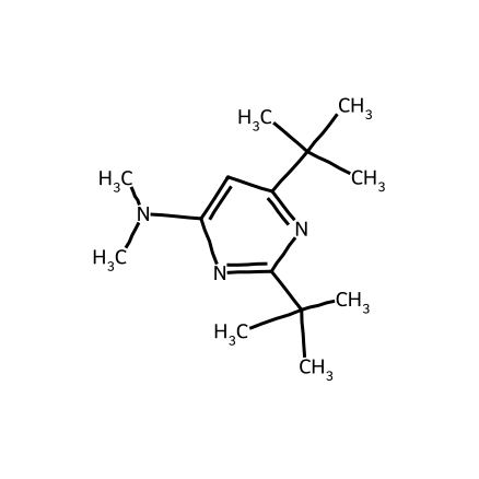 CN(C)c1cc(C(C)(C)C)nc(C(C)(C)C)n1